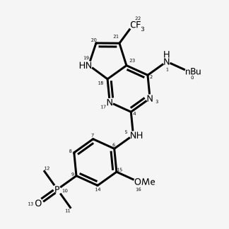 CCCCNc1nc(Nc2ccc(P(C)(C)=O)cc2OC)nc2[nH]cc(C(F)(F)F)c12